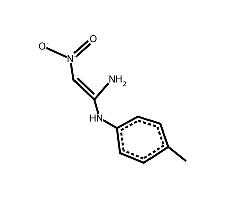 Cc1ccc(NC(N)=C[N+](=O)[O-])cc1